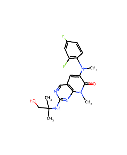 CN(c1ccc(F)cc1F)c1cc2cnc(NC(C)(C)CO)nc2n(C)c1=O